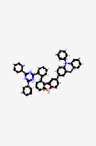 c1ccc(-c2nc(-c3ccccc3)nc(-c3ccccc3-c3cccc4oc5ccc(-c6ccc7c(c6)Cc6ccccc6N7c6ccccc6)cc5c34)n2)cc1